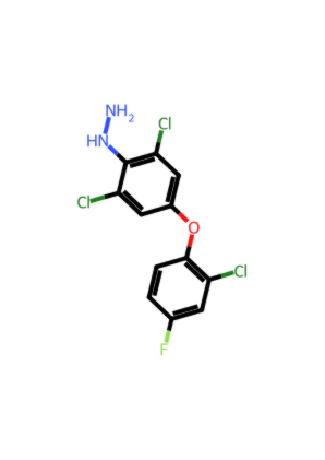 NNc1c(Cl)cc(Oc2ccc(F)cc2Cl)cc1Cl